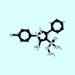 COP(C)(=O)c1c(-c2ccccc2)nn(-c2ccc(Cl)cc2)c1O